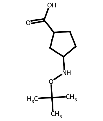 CC(C)(C)ONC1CCC(C(=O)O)C1